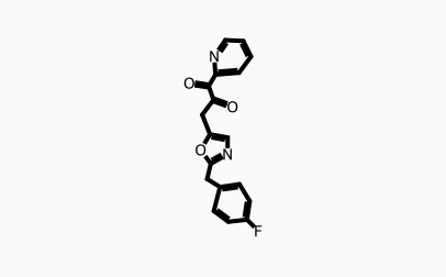 O=C(Cc1cnc(Cc2ccc(F)cc2)o1)C(=O)c1ccccn1